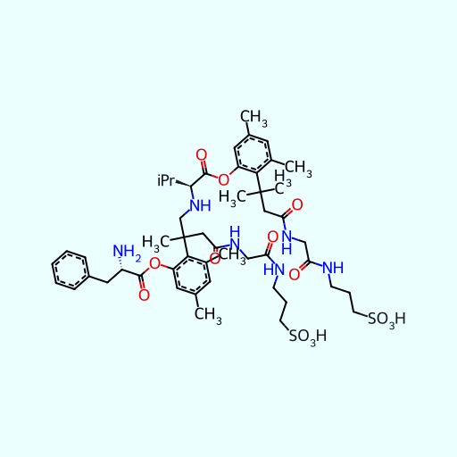 Cc1cc(C)c(C(C)(C)CC(=O)NCC(=O)NCCCS(=O)(=O)O)c(OC(=O)[C@@H](NCC(C)(CC(=O)NCC(=O)NCCCS(=O)(=O)O)c2c(C)cc(C)cc2OC(=O)[C@@H](N)Cc2ccccc2)C(C)C)c1